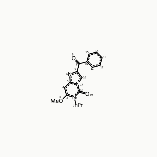 CCCn1c(OC)cc2nc(C(=O)c3ccccc3)cn2c1=O